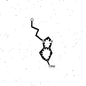 COc1ccc2c(c1)ncn2CCCCl